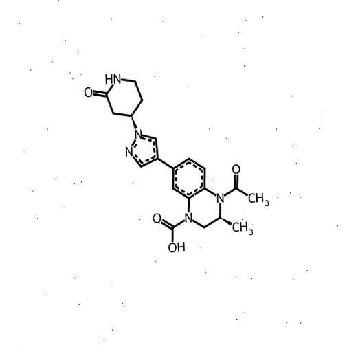 CC(=O)N1c2ccc(-c3cnn([C@@H]4CCNC(=O)C4)c3)cc2N(C(=O)O)C[C@@H]1C